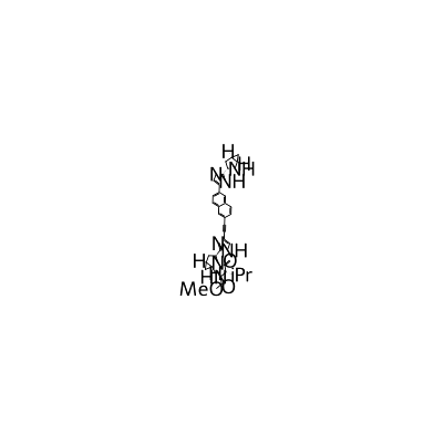 COC(=O)N[C@H](C(=O)N1[C@@H]2C[C@@H]2C[C@H]1c1nc(C#Cc2ccc3cc(-c4cnc([C@@H]5C[C@H]6C[C@H]6N5)[nH]4)ccc3c2)c[nH]1)C(C)C